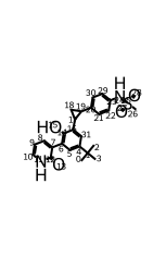 CC(C)(C)c1cc(-c2ccc[nH]c2=O)c(O)c(C2CC2c2ccc(NS(C)(=O)=O)cc2)c1